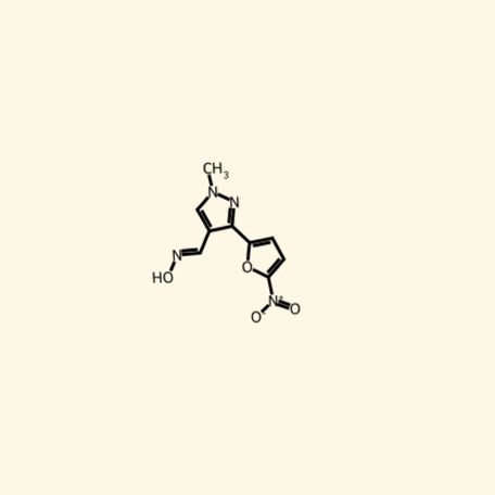 Cn1cc(C=NO)c(-c2ccc([N+](=O)[O-])o2)n1